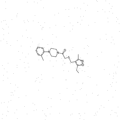 CCc1onc(C)c1CSCC(=O)N1CCN(c2ccccc2C)CC1